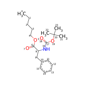 CCCCCOC(=O)C(Cc1ccccc1)NC(=O)OC(C)(C)C